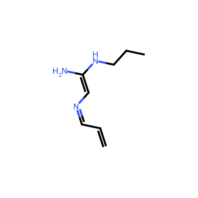 C=C/C=N\C=C(/N)NCCC